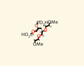 CC(COC(=O)O)OC(=O)O.COCCOCCOCCOC